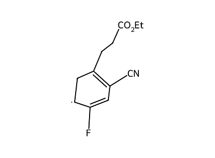 CCOC(=O)CCC1=C(C#N)C=C(F)[CH]C1